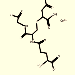 NC(CCC(=O)NC(CSC(CC(=O)O)C(=O)O)C(=O)NCC(=O)[O-])C(=O)[O-].[Cu+2]